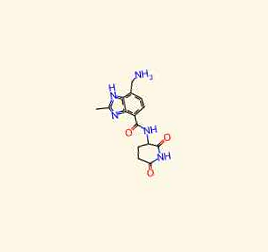 Cc1nc2c(C(=O)NC3CCC(=O)NC3=O)ccc(CN)c2[nH]1